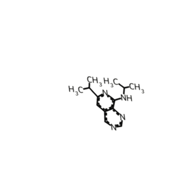 CC(C)Nc1nc(C(C)C)cc2cncnc12